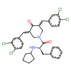 O=C1/C(=C/c2ccc(Cl)c(Cl)c2)CN(C(=O)[C@@H](Cc2ccccc2)NC2CCCC2)C/C1=C\c1ccc(Cl)c(Cl)c1